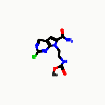 CC(C)(C)OC(=O)NCCn1c(C(N)=O)cc2cnc(Cl)nc21